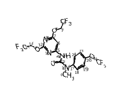 CN(C(=O)Nc1cc(OCC(F)(F)F)nc(OCC(F)(F)F)n1)c1ccc(OC(F)(F)F)cc1